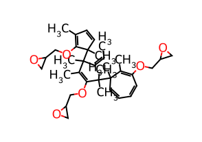 C/C=C\C(C)(/C(C)=C(/OCC1CO1)C(C)(C)C1(C)C=CC=CC(OCC2CO2)=C1C)C1(C)C=CC(C)=C1OCC1CO1